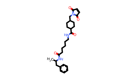 CC(Cc1ccccc1)NC(=O)CCCCCNC(=O)C1CCC(CN2C(=O)C=CC2=O)CC1